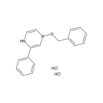 C1=CN(OCc2ccccc2)C=C(c2ccccc2)N1.Cl.Cl